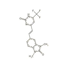 Cn1c(=O)n(C)c2cc(C=Cc3cc(C(F)(F)F)[nH]c(=O)n3)ccc21